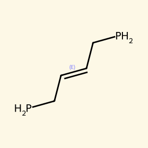 PC/C=C/CP